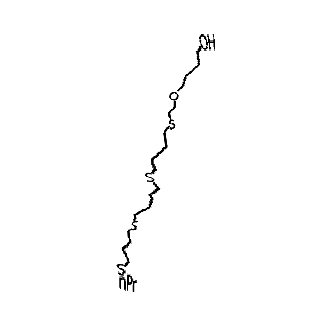 CCCSCCCCSCCCCSCCCCSCCOCCCCO